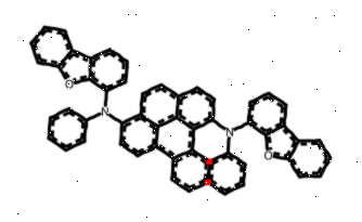 c1ccc(N(c2ccc3c4ccccc4c4c(N(c5ccccc5)c5cccc6c5oc5ccccc56)ccc5ccc2c3c54)c2cccc3c2oc2ccccc23)cc1